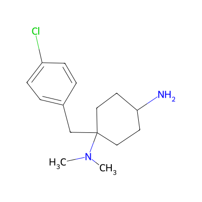 CN(C)C1(Cc2ccc(Cl)cc2)CCC(N)CC1